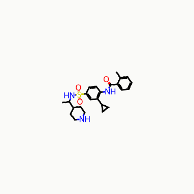 Cc1ccccc1C(=O)Nc1ccc(S(=O)(=O)NC(C)C2CCNCC2)cc1C1CC1